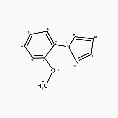 COc1ccccc1-n1cc[c]n1